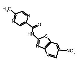 Cc1cnc(C(=O)Nc2nc3ncc([N+](=O)[O-])cc3s2)cn1